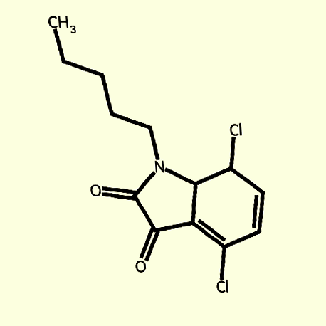 CCCCCN1C(=O)C(=O)C2=C(Cl)C=CC(Cl)C21